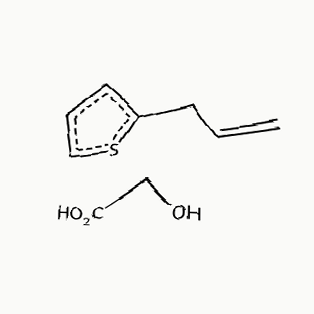 C=CCc1cccs1.O=C(O)CO